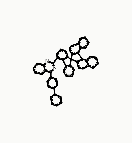 c1ccc(-c2ccc(-c3nc(-c4cccc5c4-c4ccccc4C54c5ccc6ccccc6c5-c5c4ccc4ccccc54)nc4ccccc34)cc2)cc1